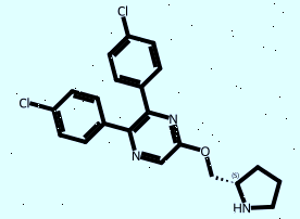 Clc1ccc(-c2ncc(OC[C@@H]3CCCN3)nc2-c2ccc(Cl)cc2)cc1